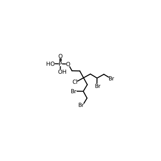 O=P(O)(O)OCCC(Cl)(CC(Br)CBr)CC(Br)CBr